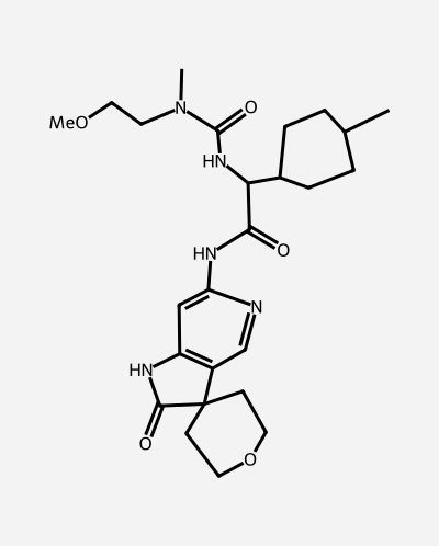 COCCN(C)C(=O)NC(C(=O)Nc1cc2c(cn1)C1(CCOCC1)C(=O)N2)C1CCC(C)CC1